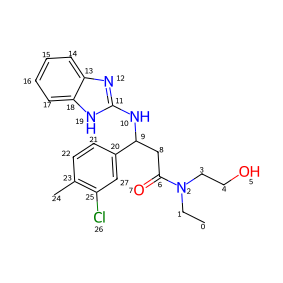 CCN(CCO)C(=O)CC(Nc1nc2ccccc2[nH]1)c1ccc(C)c(Cl)c1